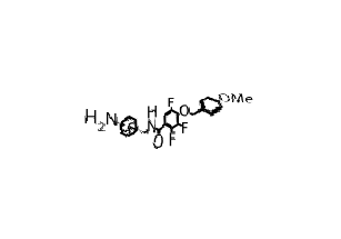 COc1ccc(COc2c(F)cc(C(=O)NC[C@]34CC[C@](N)(CC3)CC4)c(F)c2F)cc1